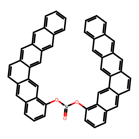 O=[Si](Oc1cccc2cc3ccc4cc5cc6ccccc6cc5cc4c3cc12)Oc1cccc2cc3ccc4cc5cc6ccccc6cc5cc4c3cc12